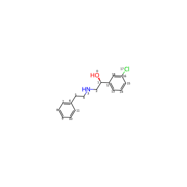 O[C@H](CNCCc1ccccc1)c1cccc(Cl)c1